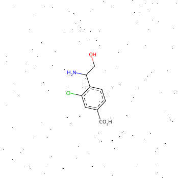 NC(CO)c1ccc(C(=O)O)cc1Cl